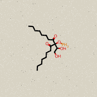 CCCCCCCC(=O)C(OP)(C(=O)CCCCCCC)C(O)CO